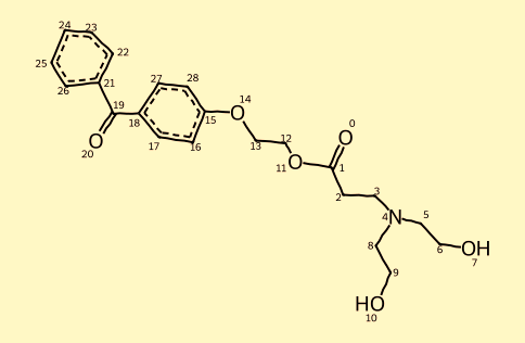 O=C(CCN(CCO)CCO)OCCOc1ccc(C(=O)c2ccccc2)cc1